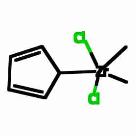 [CH3][Zr]([CH3])([Cl])([Cl])[CH]1C=CC=C1